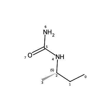 CC[C@H](C)NC(N)=O